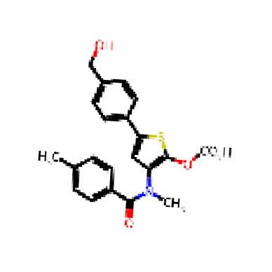 Cc1ccc(C(=O)N(C)c2cc(-c3ccc(CO)cc3)sc2OC(=O)O)cc1